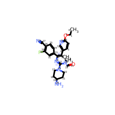 CCOc1ccc(/C(C)=C(/N=C(\N(C)C=O)N2CCC(N)CC2)c2ccc(C#N)c(F)c2)cn1